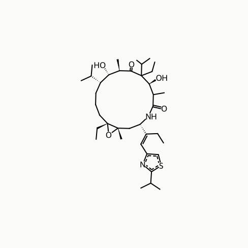 CC/C(=C\c1csc(C(C)C)n1)[C@@H]1C[C@]2(C)O[C@]2(CC)CCC[C@H](C(C)C)[C@H](O)[C@@H](C)C(=O)C(CC)(C(C)C)[C@@H](O)C(C)C(=O)N1